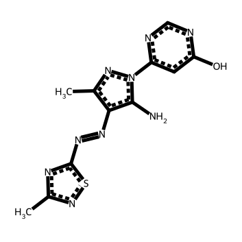 Cc1nsc(/N=N/c2c(C)nn(-c3cc(O)ncn3)c2N)n1